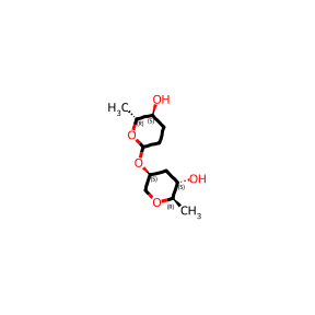 C[C@H]1OC[C@@H](OC2CC[C@H](O)[C@@H](C)O2)C[C@@H]1O